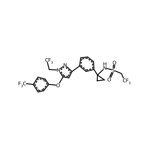 O=S(=O)(CC(F)(F)F)NC1(c2cccc(-c3cc(Oc4ccc(C(F)(F)F)cc4)n(CC(F)(F)F)n3)c2)CC1